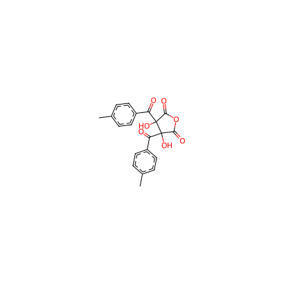 Cc1ccc(C(=O)C2(O)C(=O)OC(=O)C2(O)C(=O)c2ccc(C)cc2)cc1